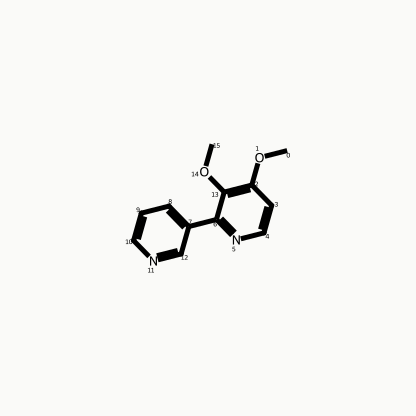 COc1ccnc(-c2cccnc2)c1OC